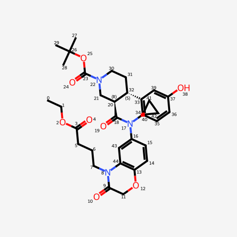 CCOC(=O)CCCN1C(=O)COc2ccc(N(C(=O)[C@H]3CN(C(=O)OC(C)(C)C)CC[C@@H]3c3cccc(O)c3)C3CC3)cc21